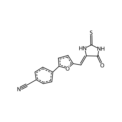 N#Cc1ccc(-c2ccc(/C=C3\NC(=S)NC3=O)o2)cc1